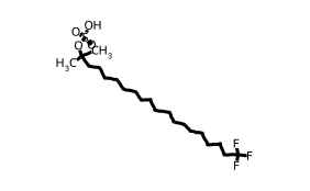 CC(C)(CCCCCCCCCCCCCCCCCC(F)(F)F)OS(=O)(=O)O